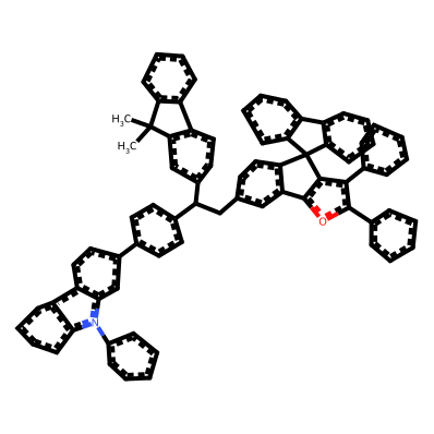 CC1(C)c2ccccc2-c2ccc(C(Cc3ccc4c(c3)-c3oc(-c5ccccc5)c(-c5ccccc5)c3C43c4ccccc4-c4ccccc43)c3ccc(-c4ccc5c6ccccc6n(-c6ccccc6)c5c4)cc3)cc21